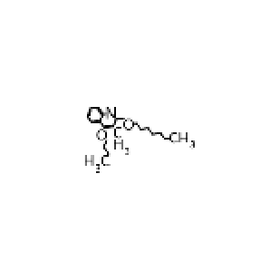 CCCCCCCOCc1nc2ccccc2c(OCCCC)c1C